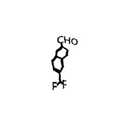 O=Cc1ccc2cc(C(F)F)ccc2c1